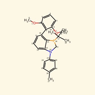 COc1cccc(OC)c1-c1cccc2c1P(C(C)(C)C)CN2c1ccc(C)cc1